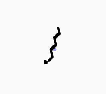 CC=C/C=C/CBr